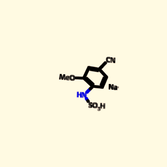 COc1cc(C#N)ccc1NS(=O)(=O)O.[Na]